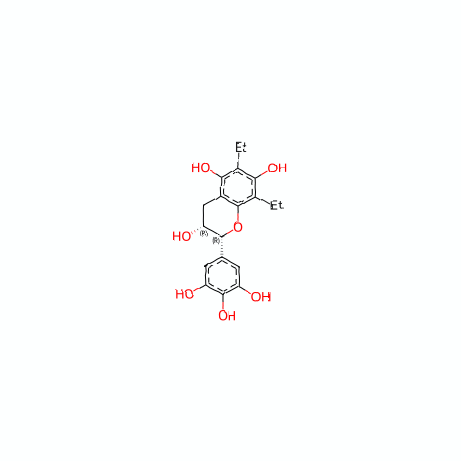 CCc1c(O)c(CC)c2c(c1O)C[C@@H](O)[C@@H](c1cc(O)c(O)c(O)c1)O2